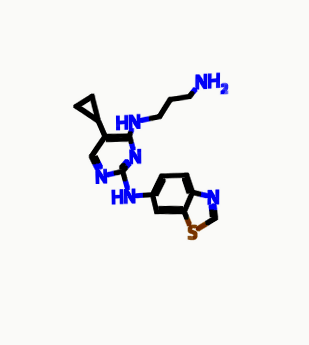 NCCCNc1nc(Nc2ccc3ncsc3c2)ncc1C1CC1